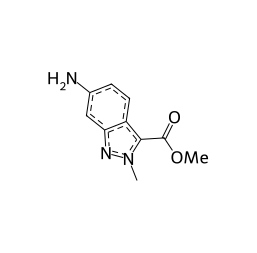 COC(=O)c1c2ccc(N)cc2nn1C